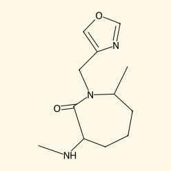 CNC1CCCC(C)N(Cc2cocn2)C1=O